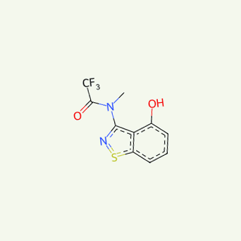 CN(C(=O)C(F)(F)F)c1nsc2cccc(O)c12